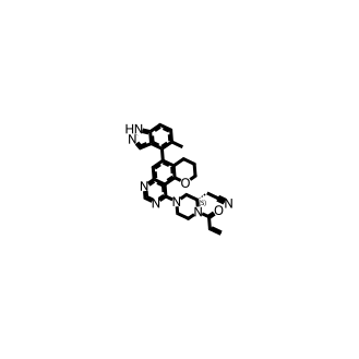 C=CC(=O)N1CCN(c2ncnc3cc(-c4c(C)ccc5[nH]ncc45)c4c(c23)OCCC4)C[C@@H]1CC#N